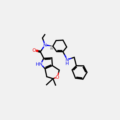 CCN(C(=O)c1cc2c([nH]1)CC(C)(C)OC2)[C@@H]1C=C(NCc2ccccc2)CCC1